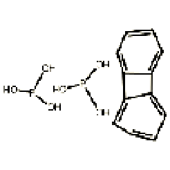 OP(O)O.OP(O)O.c1ccc2c(c1)-c1ccccc1-2